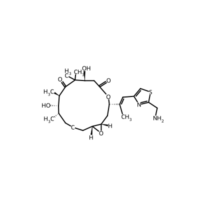 CC(=Cc1csc(CN)n1)[C@@H]1C[C@@H]2O[C@@H]2CCC[C@H](C)[C@H](O)[C@@H](C)C(=O)C(C)(C)[C@@H](O)CC(=O)O1